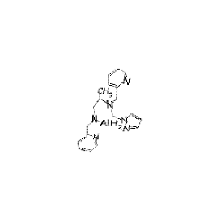 CC(C[N]([AlH2])Cc1ccccn1)N(Cc1ccccn1)Cn1cccn1